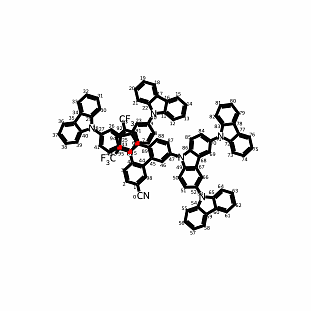 N#Cc1ccc(-n2c3ccc(-n4c5ccccc5c5ccccc54)cc3c3cc(-n4c5ccccc5c5ccccc54)ccc32)c(-c2cc(-n3c4ccc(-n5c6ccccc6c6ccccc65)cc4c4cc(-n5c6ccccc6c6ccccc65)ccc43)ccc2-c2cc(C(F)(F)F)cc(C(F)(F)F)c2)c1